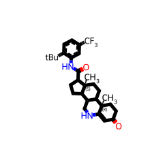 CC(C)(C)c1ccc(C(F)(F)F)cc1NC(=O)C1CCC2C3CNC4=CC(=O)CC[C@]4(C)C3CC[C@]12C